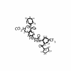 O=C(O)Cc1nc(NC(=O)Nc2ccc(C(F)(F)F)cc2C(=O)C2CCCC2)sc1S(=O)(=O)c1ccccn1